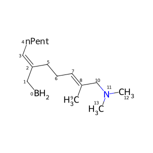 BC/C(=C/CCCCC)CC/C=C(\C)CN(C)C